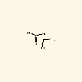 CCN.O=S(O)O